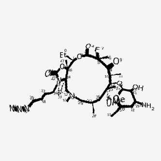 CC[C@H]1OC(=O)[C@](C)(F)C(=O)[C@@H](C)[C@@H](O[C@@H]2OC(C)CC(N)C2O)[C@](C)(OC)C[C@@H](C)CN(C)[C@H](C)[C@H]2N(CCCCN=[N+]=[N-])C(=O)O[C@]12C